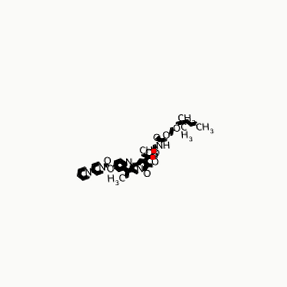 CCCCC(C)(C)COCCOCC(=O)NCC(=O)OC1(CC)C(=O)OCc2c1cc1n(c2=O)Cc2c-1nc1ccc(OC(=O)N3CCC(N4CCCCC4)CC3)cc1c2CC